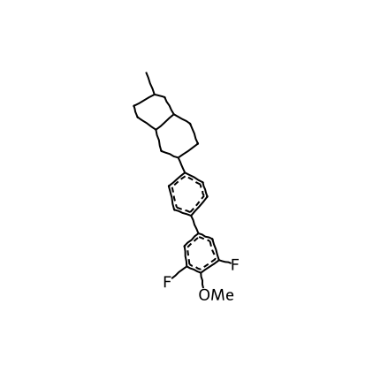 COc1c(F)cc(-c2ccc(C3CCC4CC(C)CCC4C3)cc2)cc1F